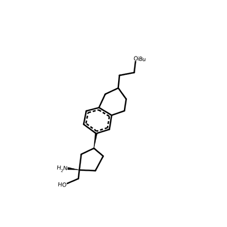 CC(C)COCCC1CCc2cc([C@H]3CC[C@](N)(CO)C3)ccc2C1